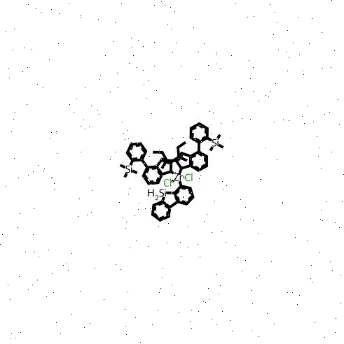 CCC(C)C1=Cc2c(-c3ccccc3[Si](C)(C)C)cccc2[CH]1[Zr]([Cl])([Cl])([c]1cccc2c1[SiH2]c1ccccc1-2)[CH]1C(C(C)CC)=Cc2c(-c3ccccc3[Si](C)(C)C)cccc21